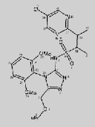 CCCOCc1nnc(NS(=O)(=O)C(C)C(C)c2ncc(Cl)cn2)n1-c1c(OC)cccc1OC